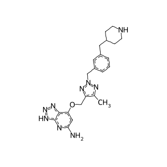 Cc1nn(Cc2cccc(CC3CCNCC3)c2)nc1COc1cc(N)nc2[nH]nnc12